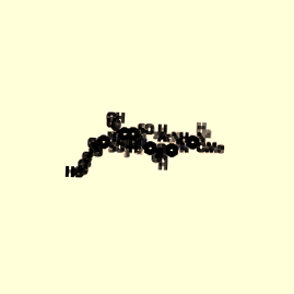 COc1cc(/N=N/c2ccc(NS(=O)(=O)c3ccc(/N=N/c4c(S(=O)(=O)O)cc5cc(SOOO)c(/N=N/c6ccc(S(=O)(=O)CCOSOOO)cc6S(=O)(=O)O)c(N)c5c4O)cc3)cc2)c(NC(C)=O)cc1N